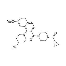 COc1ccc2ncc(C(=O)N3CCN(C(=O)C4CC4)CC3)c(N3CCC(C#N)CC3)c2c1